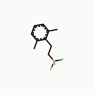 Cc1cccc(C)c1CC[SiH](F)F